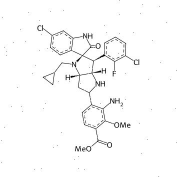 COC(=O)c1ccc(C2C[C@H]3[C@@H](N2)[C@H](c2cccc(Cl)c2F)[C@]2(C(=O)Nc4cc(Cl)ccc42)N3CC2CC2)c(N)c1OC